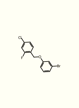 Fc1cc(Cl)ccc1COc1cccc(Br)c1